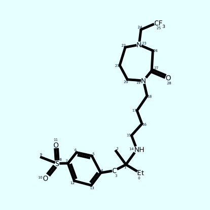 CCC(C)(Cc1ccc(S(C)(=O)=O)cc1)NCCCCN1CCCN(CC(F)(F)F)CC1=O